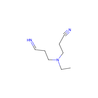 CCN(CCC#N)CCC=N